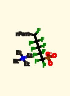 CCCCCC(F)C(F)(F)C(F)(F)C(F)(F)C(F)(F)S(=O)(=O)[O-].CC[N+](CC)(CC)CC